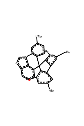 COc1ccc2c(c1)-n1cnc3cccc(c31)C21c2c(cc(C(C)(C)C)cc2C(C)(C)C)-c2cc(C(C)(C)C)cc(C(C)(C)C)c21